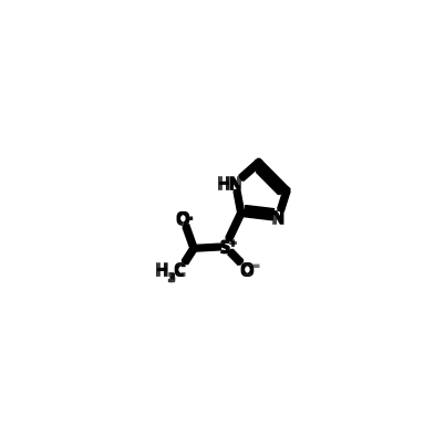 CC([O])[S+]([O-])c1ncc[nH]1